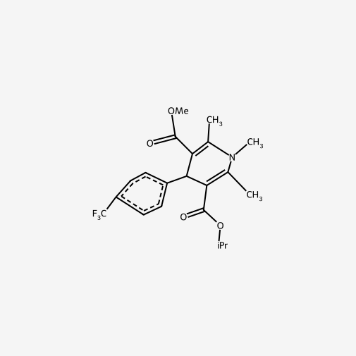 COC(=O)C1=C(C)N(C)C(C)=C(C(=O)OC(C)C)C1c1ccc(C(F)(F)F)cc1